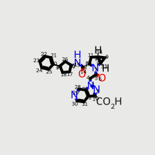 O=C(O)c1nn(CC(=O)N2[C@@H]3C[C@@H]3C[C@H]2C(=O)N[C@@H]2CC[C@@H](c3ccccc3)C2)c2cnccc12